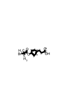 CC(C)(Br)C(=O)Oc1ccc(CCC(=O)O)cc1